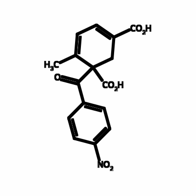 CC1=CC=C(C(=O)O)CC1(C(=O)O)C(=O)c1ccc([N+](=O)[O-])cc1